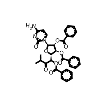 CC(C)C(=O)C(OC(=O)c1ccccc1)[C@H]1O[C@@H](n2ccc(N)nc2=O)[C@H](OC(=O)c2ccccc2)[C@@H]1OC(=O)c1ccccc1